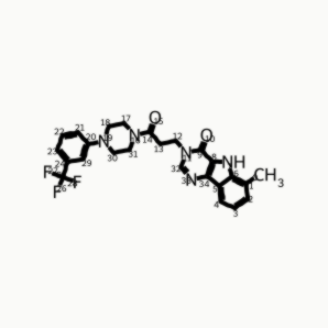 Cc1cccc2c1[nH]c1c(=O)n(CCC(=O)N3CCN(c4cccc(C(F)(F)F)c4)CC3)cnc12